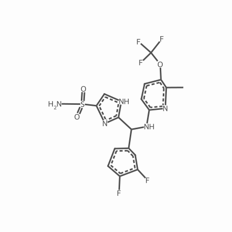 Cc1nc(NC(c2ccc(F)c(F)c2)c2nc(S(N)(=O)=O)c[nH]2)ccc1OC(F)(F)F